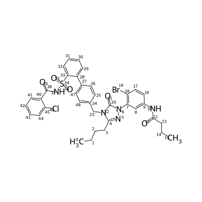 CCCCc1nn(-c2cc(NC(=O)CCC)ccc2Br)c(=O)n1Cc1ccc(-c2ccccc2S(=O)(=O)NC(=O)c2ccccc2Cl)cc1